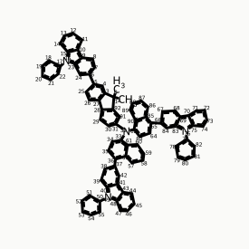 CC1(C)c2cc(-c3ccc4c5ccccc5n(-c5ccccc5)c4c3)ccc2-c2ccc(N(c3ccc(-c4ccc5c(c4)c4ccccc4n5-c4ccccc4)c4ccccc34)c3ccc(-c4ccc5c6ccccc6n(-c6ccccc6)c5c4)c4ccccc34)cc21